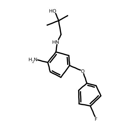 CC(C)(O)CNc1cc(Oc2ccc(F)cc2)ccc1N